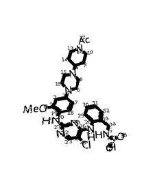 COc1cc(N2CCN(C3CCN(C(C)=O)CC3)CC2)ccc1Nc1ncc(Cl)c(Nc2ccccc2CN[SH](=O)=O)n1